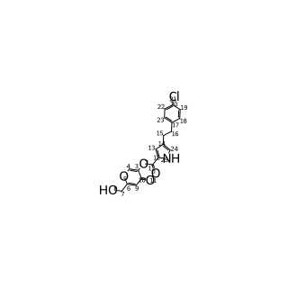 O=C(Oc1coc(CO)cc1=O)c1cc(CCc2ccc(Cl)cc2)c[nH]1